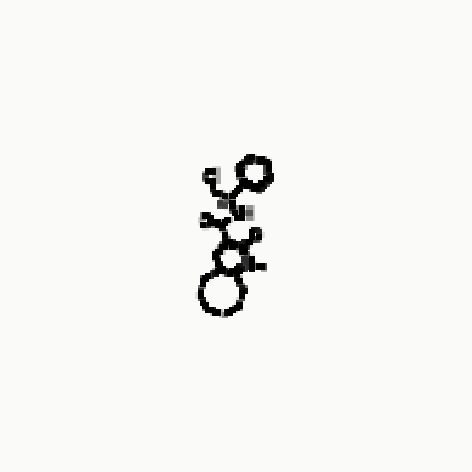 Cn1c2c(cc(C(=O)N[C@@H](CCl)c3ccccc3)c1=O)CCCCCC2